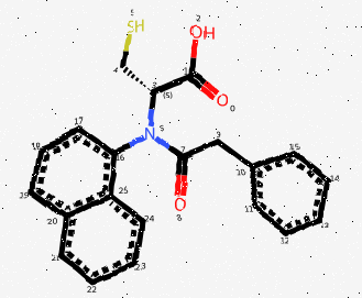 O=C(O)[C@@H](CS)N(C(=O)Cc1ccccc1)c1cccc2ccccc12